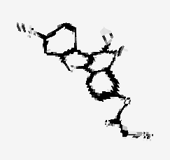 CNC(=O)Oc1ccc2c(c1)[nH]c(=O)c1c3ccc(N)cc3oc21